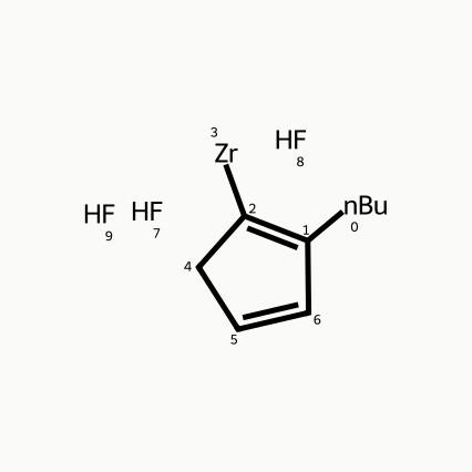 CCCCC1=[C]([Zr])CC=C1.F.F.F